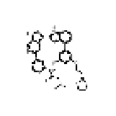 CN(C)CC(=O)Nc1cncc(-c2cc3c(-c4nc5c(-c6cc(F)cc(OCCN7CCCC7)c6)cccc5[nH]4)n[nH]c3cn2)c1